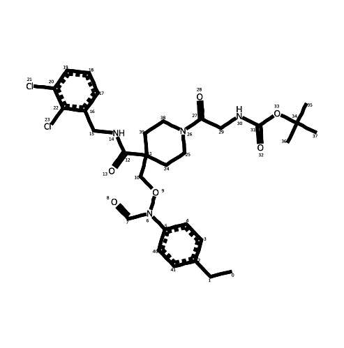 CCc1ccc(N(C=O)OCC2(C(=O)NCc3cccc(Cl)c3Cl)CCN(C(=O)CNC(=O)OC(C)(C)C)CC2)cc1